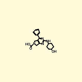 O=C(O)N1Cc2nc(NC3CCC(O)CC3)nc(-c3ccccc3)c2C1